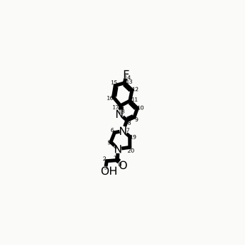 O=C(CO)N1CCN(c2ccc3cc(F)ccc3n2)CC1